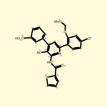 COCOc1cc(Cl)ccc1-c1cc(-c2cccc(C(=O)O)c2)c(C#N)c(NC(=O)c2ccco2)n1